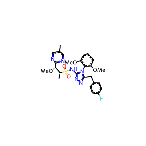 COc1cccc(OC)c1-n1c(Cc2ccc(F)cc2)nnc1NS(=O)(=O)[C@@H](C)[C@H](OC)c1ncc(C)cn1